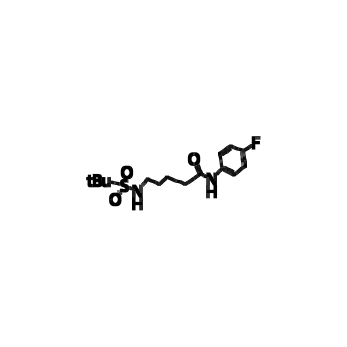 CC(C)(C)S(=O)(=O)NCCCCC(=O)Nc1ccc(F)cc1